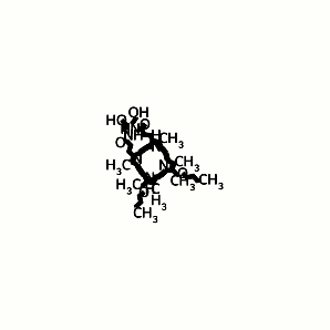 CCCCOC(C)C1=C(C)c2cc3[nH]c(cc4nc(cc5[nH]c(cc1n2)c(C)c5C(C)OCCCC)C(C)=C4CCC(=O)NCCO)c(CCC(=O)NCCO)c3C